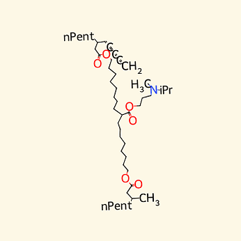 C=C=C=C=CC(CCCCC)CC(=O)OCCCCCCCCC(CCCCCCCCOC(=O)CC(C)CCCCC)C(=O)OCCCN(C)C(C)C